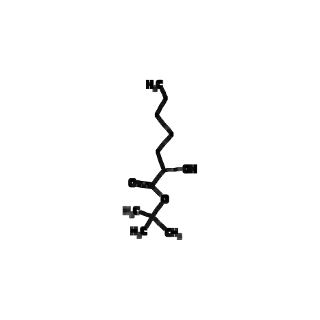 CCCCCC(O)C(=O)OC(C)(C)C